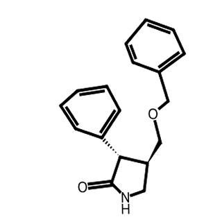 O=C1NC[C@H](COCc2ccccc2)[C@H]1c1ccccc1